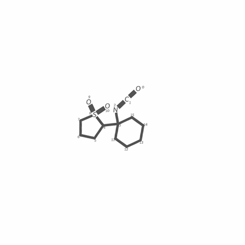 O=C=NC1(C2CCCS2(=O)=O)CCCCC1